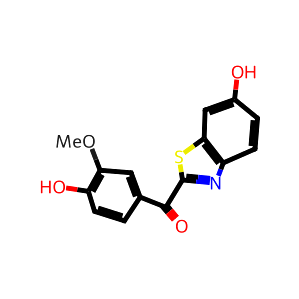 COc1cc(C(=O)c2nc3ccc(O)cc3s2)ccc1O